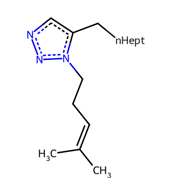 CCCCCCCCc1cnnn1CCC=C(C)C